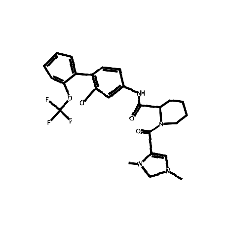 CN1C=C(C(=O)N2CCCCC2C(=O)Nc2ccc(-c3ccccc3OC(F)(F)F)c(Cl)c2)N(C)C1